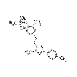 Cc1cc(SCc2sc(-c3ccc(C(F)(F)F)cc3)nc2C)ccc1O[Si](C)(C)C(C)(C)C